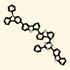 c1ccc(-c2nc(-c3ccc4c(c3)oc3ccccc34)nc(-c3cccc4oc5c(-c6cccc7c6oc6ccc(-c8ccc9c(c8)c8ccccc8n9-c8ccccc8)cc67)cccc5c34)n2)cc1